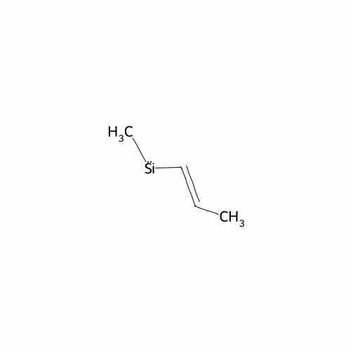 CC=C[Si]C